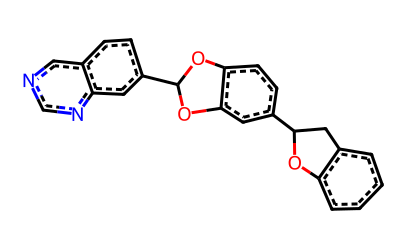 c1ccc2c(c1)CC(c1ccc3c(c1)OC(c1ccc4cncnc4c1)O3)O2